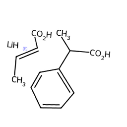 C/C=C/C(=O)O.CC(C(=O)O)c1ccccc1.[LiH]